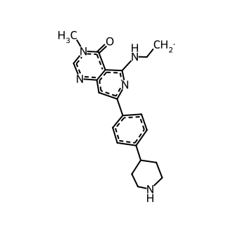 [CH2]CNc1nc(-c2ccc(C3CCNCC3)cc2)cc2ncn(C)c(=O)c12